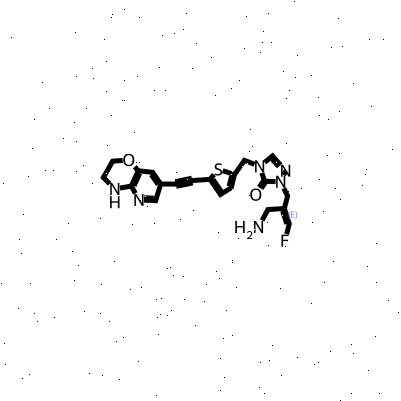 NC/C(=C\F)Cn1ncn(Cc2ccc(C#Cc3cnc4c(c3)OCCN4)s2)c1=O